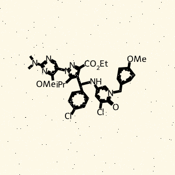 CCOC(=O)c1nn(-c2cnc(N(C)C)nc2OC)c(C(C)C)c1C(Nc1cc(Cl)c(=O)n(Cc2ccc(OC)cc2)c1)c1ccc(Cl)cc1